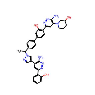 CC(c1ccc(-c2ccc(-c3cc(N4CCCC(O)C4)c(N)nn3)c(O)c2)cc1)n1cc(-c2cc(-c3ccccc3O)nnc2N)cn1